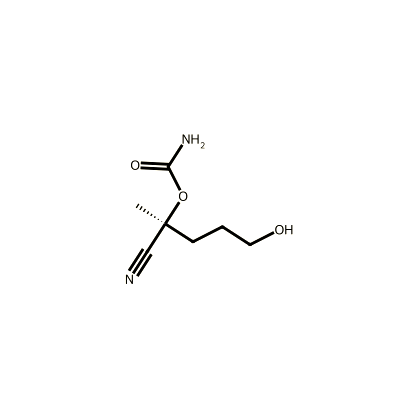 C[C@@](C#N)(CCCO)OC(N)=O